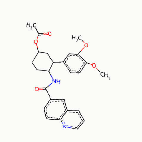 COc1ccc(C2CC(OC(C)=O)CCC2NC(=O)c2ccc3ncccc3c2)cc1OC